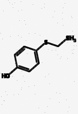 Oc1ccc(SC[SiH3])cc1